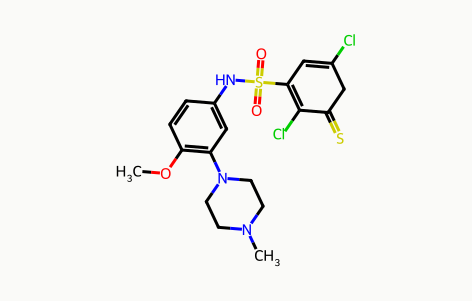 COc1ccc(NS(=O)(=O)C2=C(Cl)C(=S)CC(Cl)=C2)cc1N1CCN(C)CC1